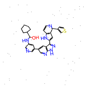 OC(Nc1cncc(-c2cnc3[nH]nc(-c4cc5c(-c6ccsc6)nccc5[nH]4)c3c2)c1)C1CCCCC1